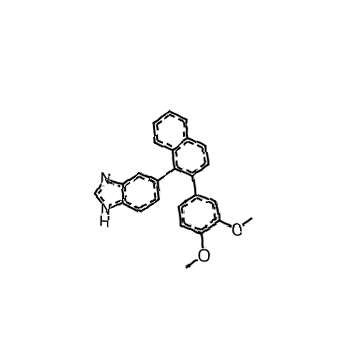 COc1ccc(-c2ccc3ccccc3c2-c2ccc3[nH]cnc3c2)cc1OC